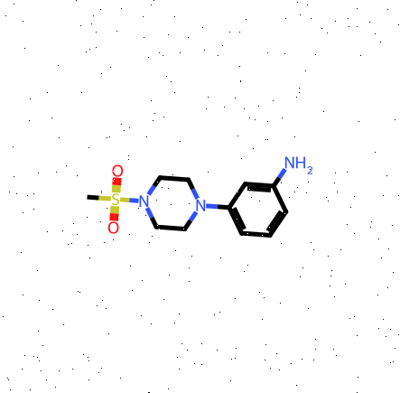 CS(=O)(=O)N1CCN(c2cccc(N)c2)CC1